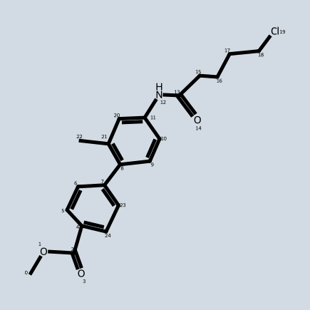 COC(=O)c1ccc(-c2ccc(NC(=O)CCCCCl)cc2C)cc1